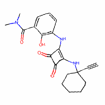 C#CC1(Nc2c(Nc3cccc(C(=O)N(C)C)c3O)c(=O)c2=O)CCCCC1